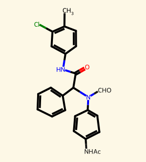 CC(=O)Nc1ccc(N(C=O)C(C(=O)Nc2ccc(C)c(Cl)c2)c2ccccc2)cc1